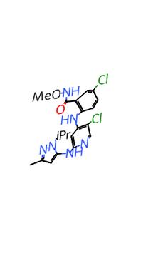 CONC(=O)c1cc(Cl)ccc1Nc1cc(Nc2cc(C)nn2C(C)C)ncc1Cl